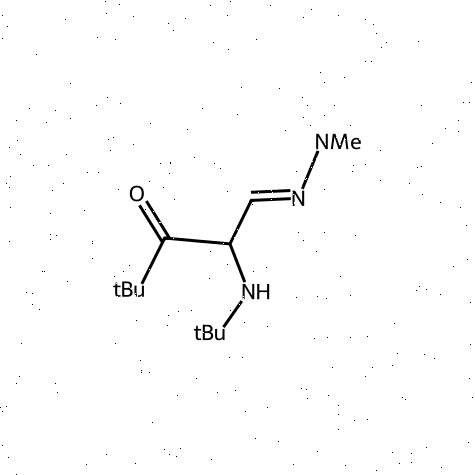 CNN=CC(NC(C)(C)C)C(=O)C(C)(C)C